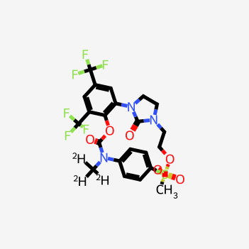 [2H]C([2H])([2H])N(C(=O)Oc1c(N2CCN(CCOS(C)(=O)=O)C2=O)cc(C(F)(F)F)cc1C(F)(F)F)c1ccc(F)cc1